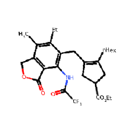 CCCCCCC1=C(Cc2c(CC)c(C)c3c(c2NC(=O)C(F)(F)F)C(=O)OC3)CC(C(=O)OCC)C1